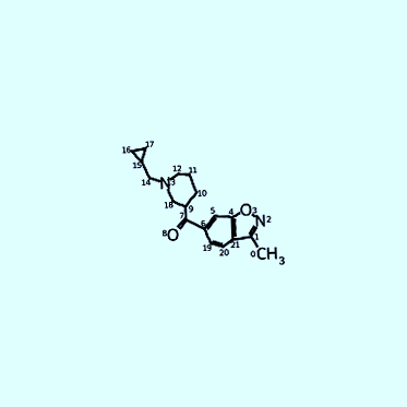 Cc1noc2cc(C(=O)C3CCCN(CC4CC4)C3)ccc12